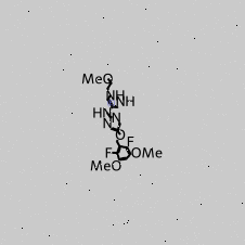 COCCN/C=C(\C=N)Nc1ncc(OCc2c(F)c(OC)cc(OC)c2F)cn1